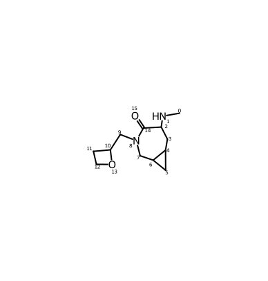 CNC1CC2CC2CN(CC2CCO2)C1=O